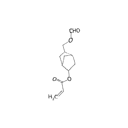 C=CC(=O)OC1CC2CC1CC2COC=O